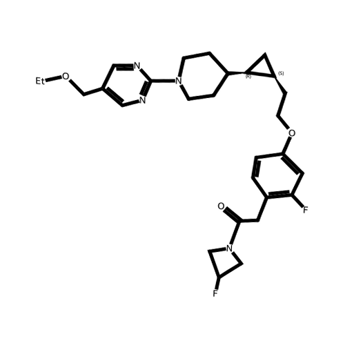 CCOCc1cnc(N2CCC([C@H]3C[C@H]3CCOc3ccc(CC(=O)N4CC(F)C4)c(F)c3)CC2)nc1